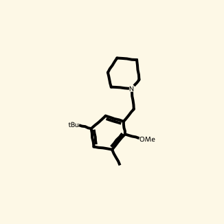 COc1c(C)cc(C(C)(C)C)cc1CN1CCCCC1